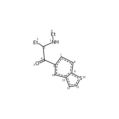 CCNC(CC)C(=O)c1ccc2sccc2c1